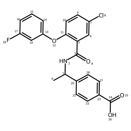 CC(NC(=O)c1cc(Cl)ccc1Oc1cccc(F)c1)c1ccc(C(=O)O)cc1